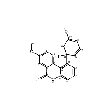 COc1ccc2c(c1)c(=O)oc1cccc(C3(F)C=CC=C(O)C3)c12